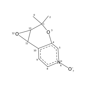 CC1(C)Oc2c[n+]([O-])ccc2C2OC21